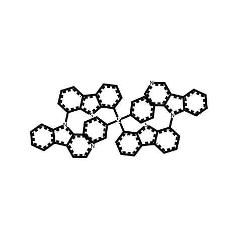 c1ccc([Si](c2ccccc2)(c2cccc3c2sc2c(-n4c5ccccc5c5cnccc54)cccc23)c2cccc3c2sc2c(-n4c5ccccc5c5ccncc54)cccc23)cc1